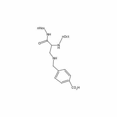 CCCCCCCCNC(CNCc1ccc(C(=O)O)cc1)C(=O)NCCCCCC